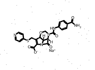 NC(=O)c1ccc(NC(=O)N2COC3C(CSc4ccncc4)=C(C(=O)[O-])N4C(=O)[C@@H]2[C@@H]34)cc1.[Na+]